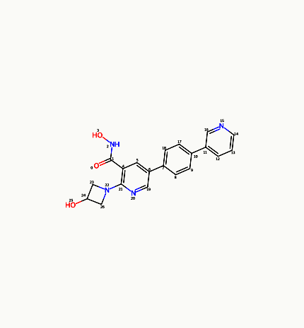 O=C(NO)c1cc(-c2ccc(-c3cccnc3)cc2)cnc1N1CC(O)C1